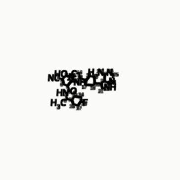 CC(NC(=O)c1cc(C#N)cnc1NC(CC(=O)O)c1ccc(-c2c[nH]c3ncnc(N)c23)cc1)c1ccc(F)cc1